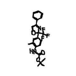 Cc1cc(C2(C(F)(F)F)N=C(c3ccccc3)CO2)ccc1NC(=O)OC(C)(C)C